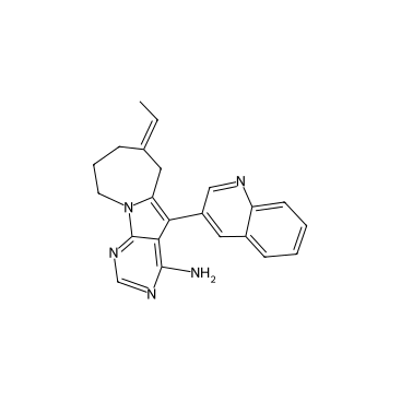 C/C=C1\CCCn2c(c(-c3cnc4ccccc4c3)c3c(N)ncnc32)C1